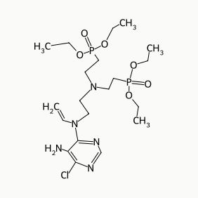 C=CN(CCN(CCP(=O)(OCC)OCC)CCP(=O)(OCC)OCC)c1ncnc(Cl)c1N